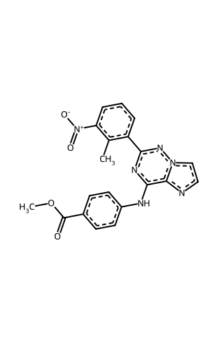 COC(=O)c1ccc(Nc2nc(-c3cccc([N+](=O)[O-])c3C)nn3ccnc23)cc1